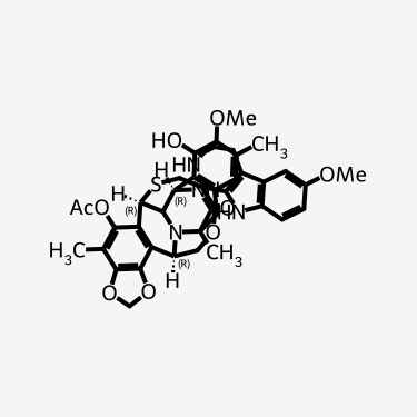 COc1ccc2[nH]c3c(c2c1)CCN[C@]31CS[C@@H]2c3c(OC(C)=O)c(C)c4c(c3[C@H](COC1=O)N1C2[C@@H]2NCC1(C)Cc1cc(C)c(OC)c(O)c12)OCO4